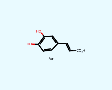 O=C(O)/C=C/c1ccc(O)c(O)c1.[Au]